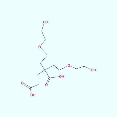 O=C(O)CCC(CCOCCO)(CCOCCO)C(=O)O